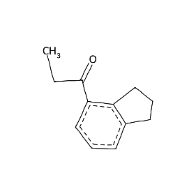 CCC(=O)c1cccc2c1CCC2